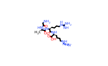 C[C@H](NC(=O)CN)C(=O)N[C@@H](CCCCNC(=N)N)C(=O)N[C@@H](CCCCNN=[N+]=[N-])C(=O)O